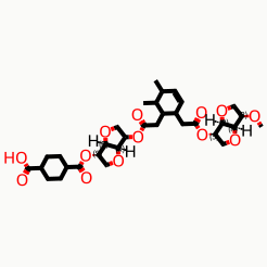 CO[C@@H]1CO[C@H]2[C@@H]1OC[C@@H]2OC(=O)CC1C=CC(C)C(C)C1CC(=O)OC1CO[C@@H]2[C@@H](OC(=O)C3CCC(C(=O)O)CC3)CO[C@H]12